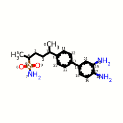 CC(CCC(C)S(N)(=O)=O)c1ccc(-c2ccc(N)c(N)c2)cc1